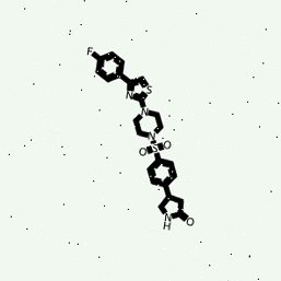 O=C1CC(c2ccc(S(=O)(=O)N3CCN(c4nc(-c5ccc(F)cc5)cs4)CC3)cc2)CN1